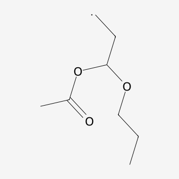 [CH2]CC(OCCC)OC(C)=O